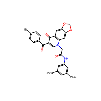 CCc1ccc(C(=O)c2cn(CC(=O)Nc3cc(OC)cc(OC)c3)c3cc4c(cc3c2=O)OCO4)cc1